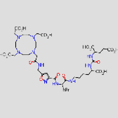 CCCC(NC(=O)c1cc(CNC(=O)CN2CCN(CC(=O)O)CCN(CC(=O)O)CCN(CC(=O)O)CC2)on1)C(=O)NCCCCC(NC(=O)NC(CCC(=O)O)C(=O)O)C(=O)O